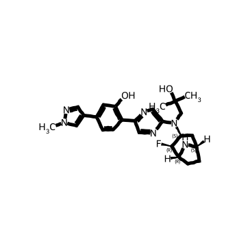 Cn1cc(-c2ccc(-c3cnc(N(CC(C)(C)O)[C@H]4C[C@@H]5CC[C@@H](N5)[C@H]4F)cn3)c(O)c2)cn1